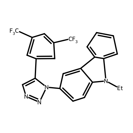 CCn1c2ccccc2c2cc(-n3nncc3-c3cc(C(F)(F)F)cc(C(F)(F)F)c3)ccc21